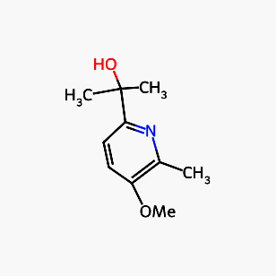 COc1ccc(C(C)(C)O)nc1C